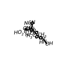 Cc1c(COc2nc(OCc3cncc(C#N)c3)c(CN[C@@](C)(CO)C(=O)O)cc2Cl)cccc1-c1cccc(-c2ccc(OCCNCCO)cc2)c1C